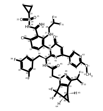 COc1cnc(-c2cc(=O)n(-c3ccc(Cl)c(C(=N)NS(=O)(=O)C4CC4)c3NCC(F)F)c([C@H](Cc3cc(F)cc(F)c3)NC(=O)Cn3nc(C(F)F)c4c3C(F)(F)[C@@H]3C[C@H]43)n2)cn1